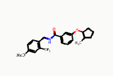 COc1ccc(CNC(=O)c2cccc(OC3CCCC3C)c2)c(C(F)(F)F)c1